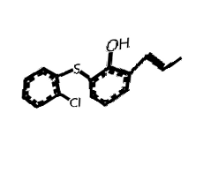 CC=Cc1cccc(Sc2ccccc2Cl)c1O